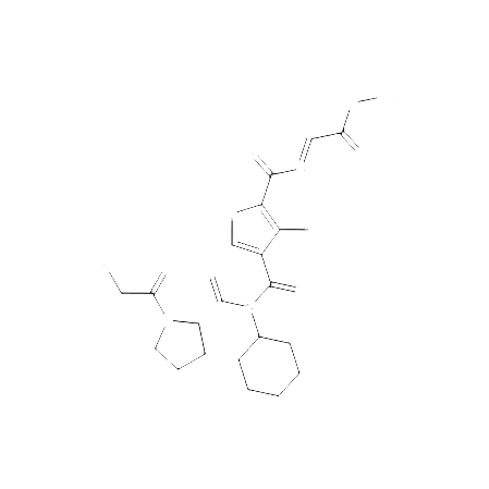 [CH2]c1c(C(=O)N(C(=O)[C@@H]2CCCN2C(=O)CN)C2CCCCC2)csc1C(=N)N=CC(=O)OC